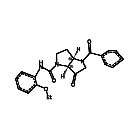 CCOc1ccccc1NC(=O)N1CC[C@@H]2[C@H]1C(=O)CN2C(=O)c1ccccc1